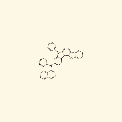 c1ccc(N(c2ccc3c4c5sc6ccccc6c5ccc4n(-c4ccccc4)c3c2)c2cccc3ccccc23)cc1